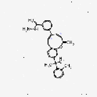 C=C1/C=C\C(c2cccc(C(=C)NN)c2)=C/Cc2ccc(C(C)(C)c3ccccc3C)cc2O1